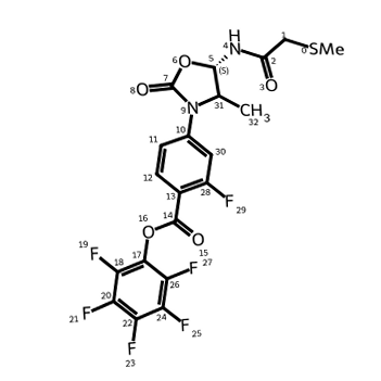 CSCC(=O)N[C@H]1OC(=O)N(c2ccc(C(=O)Oc3c(F)c(F)c(F)c(F)c3F)c(F)c2)C1C